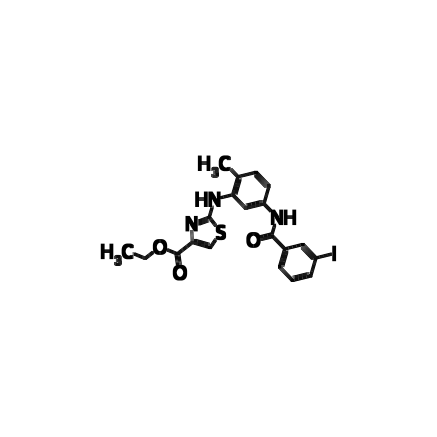 CCOC(=O)c1csc(Nc2cc(NC(=O)c3cccc(I)c3)ccc2C)n1